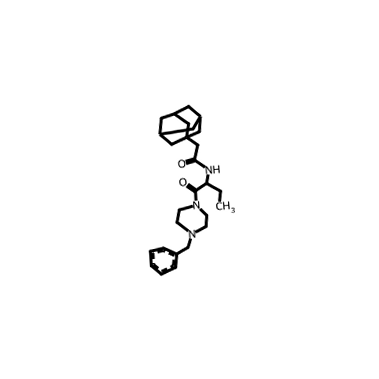 CCC(NC(=O)CC12CC3CC(CC(C3)C1)C2)C(=O)N1CCN(Cc2ccccc2)CC1